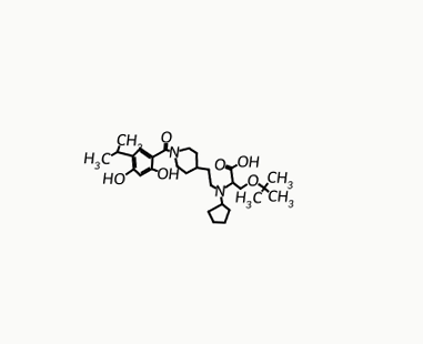 CC(C)c1cc(C(=O)N2CCC(CCN(C3CCCC3)C(COC(C)(C)C)C(=O)O)CC2)c(O)cc1O